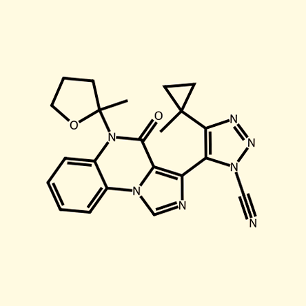 CC1(c2nnn(C#N)c2-c2ncn3c2c(=O)n(C2(C)CCCO2)c2ccccc23)CC1